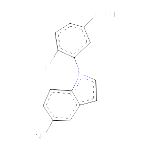 N#Cc1ccc2c(ccn2-c2cc(C(=O)O)ccc2F)c1